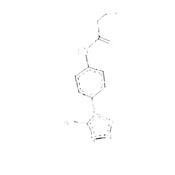 CCCCCCCCCCCC(=O)Nc1ccc(-n2nnnc2S)cc1